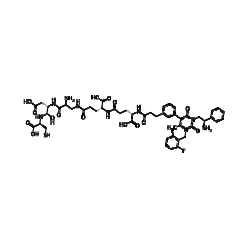 Cc1c(-c2cccc(CCC(=O)N[C@@H](CCC(=O)N[C@H](CCC(=O)NC[C@H](N)C(=O)N[C@@H](CC(=O)O)C(O)N[C@@H](CS)C(=O)O)C(=O)O)C(=O)O)c2)c(=O)n(C[C@H](N)c2ccccc2)c(=O)n1Cc1c(F)cccc1F